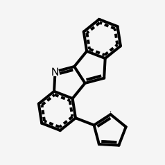 [C]1=C(c2cccc3c2C2=Cc4ccccc4C2=N3)C=CC1